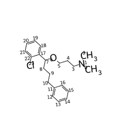 CN(C)CCCOC(CCCc1ccccc1)c1ccccc1Cl